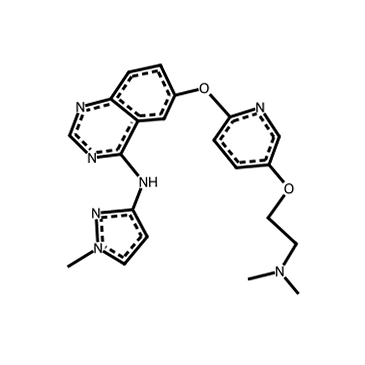 CN(C)CCOc1ccc(Oc2ccc3ncnc(Nc4ccn(C)n4)c3c2)nc1